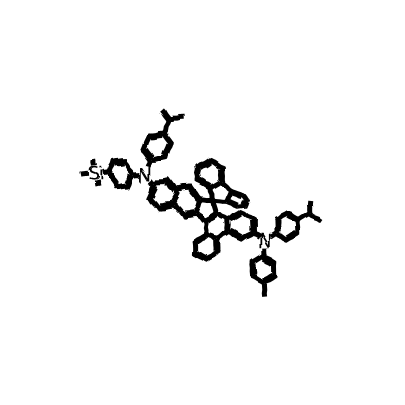 Cc1ccc(N(c2ccc(C(C)C)cc2)c2ccc3c4c(c5ccccc5c3c2)-c2cc3ccc(N(c5ccc(C(C)C)cc5)c5ccc([Si](C)(C)C)cc5)cc3cc2C42c3ccccc3-c3ccccc32)cc1